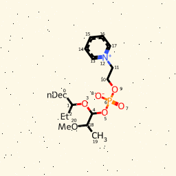 CCCCCCCCCCC(CC)OC(OP(=O)([O-])OCC[n+]1ccccc1)C(C)OC